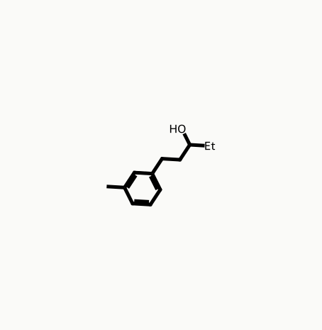 CCC(O)CCc1cccc(C)c1